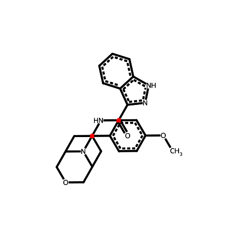 COc1ccc(CN2C3COCC2CC(NC(=O)c2n[nH]c4ccccc24)C3)cc1